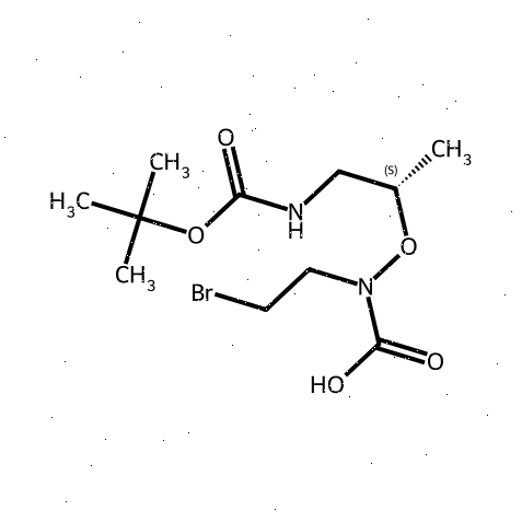 C[C@@H](CNC(=O)OC(C)(C)C)ON(CCBr)C(=O)O